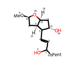 CCCCCC(O)/C=C/C1[C@H]2C[C@@H](OC)O[C@H]2C[C@@H]1O